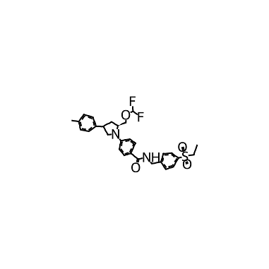 CCS(=O)(=O)c1ccc(CNC(=O)c2ccc(N3CC(c4ccc(C)cc4)C[C@H]3COC(F)F)cc2)cc1